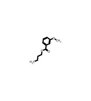 CCCCOC(=O)c1cccc(OC)c1